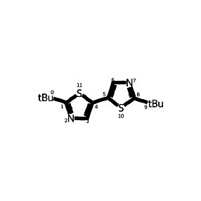 CC(C)(C)c1ncc(-c2cnc(C(C)(C)C)s2)s1